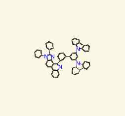 C1=CC2c3ccccc3N(c3cc(-c4cccc(-c5nc6ccccc6c6ccc7c(nc(-c8ccccc8)n7-c7ccccc7)c56)c4)cc(-n4c5ccccc5c5ccccc54)c3)C2C=C1